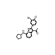 CC(=O)c1c(-c2ccc(Cl)c(Br)c2)nn2c(NC3CCCC3)cccc12